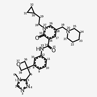 Cn1cnnc1CC1(c2cccc(NC(=O)c3cc(CN4CCCCC4)cn(CCC4CC4)c3=O)c2)COC1